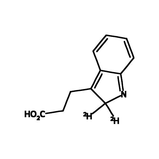 [2H]C1([2H])N=c2ccccc2=C1CCC(=O)O